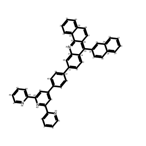 c1ccc(-c2cc(-c3ccc(-c4ccc5c(-c6ccc7ccccc7c6)c6ccc7ccccc7c6nc5c4)cc3)cc(-c3ccccn3)n2)nc1